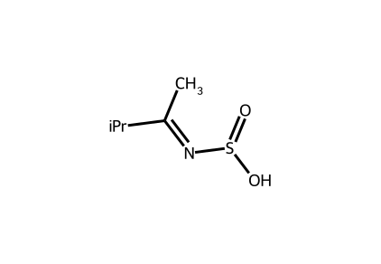 C/C(=N\S(=O)O)C(C)C